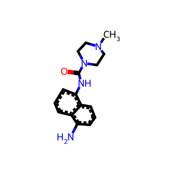 CN1CCN(C(=O)Nc2cccc3c(N)cccc23)CC1